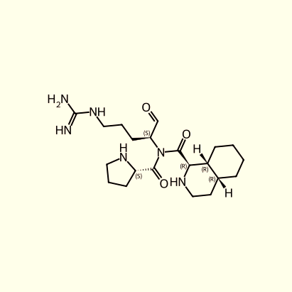 N=C(N)NCCC[C@@H](C=O)N(C(=O)[C@@H]1CCCN1)C(=O)[C@@H]1NCC[C@H]2CCCC[C@H]21